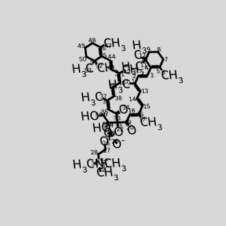 CC(C=CC1=C(C)CCCC1(C)C)=CC=CC(C)=CC(=O)C(OP(=O)([O-])OCC[N+](C)(C)C)(C(=O)C=C(C)C=CC=C(C)C=CC1=C(C)CCCC1(C)C)[C@@H](O)CO